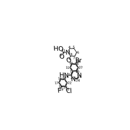 O=C(O)N1CCCCC1Oc1cc2c(Nc3ccc(F)c(Cl)c3)ncnc2cc1Br